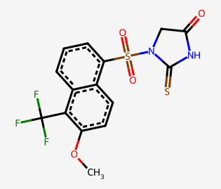 COc1ccc2c(S(=O)(=O)N3CC(=O)NC3=S)cccc2c1C(F)(F)F